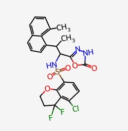 Cc1cccc2cccc(C(C)C(NS(=O)(=O)c3ccc(Cl)c4c3OCCC4(F)F)c3n[nH]c(=O)o3)c12